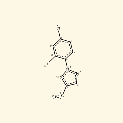 CCOC(=O)c1cnn(-c2ccc(Cl)cc2F)n1